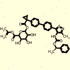 C=C(C)OC(=O)C1OC(OC(=O)C2(c3ccc(-c4ccc(-c5snc(C)c5NC(=O)O[C@H](C)c5ccccc5)cc4)cc3)CC2)C(O)C(O)C1O